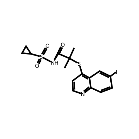 CC(C)(Sc1ccnc2ccc(I)cc12)C(=O)NS(=O)(=O)C1CC1